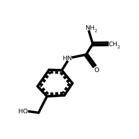 C=C(N)C(=O)Nc1ccc(CO)cc1